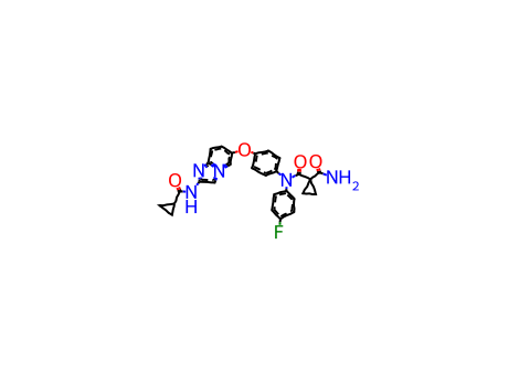 NC(=O)C1(C(=O)N(c2ccc(F)cc2)c2ccc(Oc3ccc4nc(NC(=O)C5CC5)cn4c3)cc2)CC1